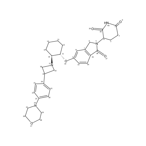 O=C1CCC(N2Cc3cc(O[C@H]4CCCC[C@@H]4N4CC(c5ccc(N6CCOCC6)cc5)C4)ccc3C2=O)C(=O)N1